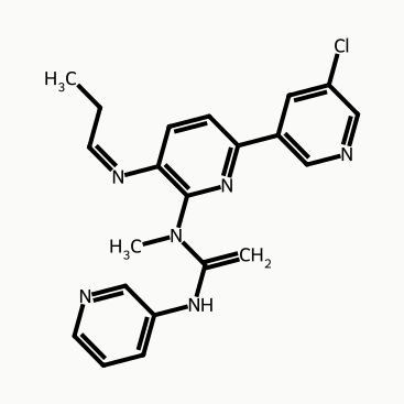 C=C(Nc1cccnc1)N(C)c1nc(-c2cncc(Cl)c2)ccc1/N=C\CC